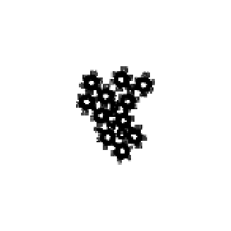 Cc1ccc(-c2ccccc2)cc1N1c2ccc(-c3ccccc3)cc2B2c3c(cc4c(oc5ccccc54)c31)-c1ccc(N(c3ccccc3)c3ccccc3)cc1N2c1ccc(-c2ccccc2)cc1